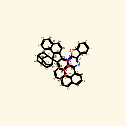 c1ccc(-c2nc3oc4ccccc4c3nc2-c2cccc3cccc(-c4ccc5c(c4)C4(c6c-5ccc5ccccc65)C5CC6CC(C5)CC4C6)c23)cc1